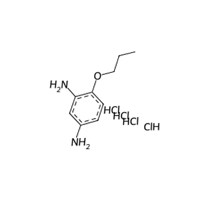 CCCOc1ccc(N)cc1N.Cl.Cl.Cl.Cl